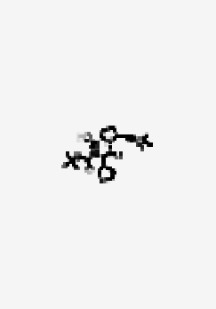 CC(C)(C)OC(=O)N[C@H](C(=O)N1C(C#C[Si](C)(C)C)CC[C@H]1C(=O)O)C1CCCC1